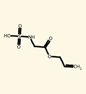 C=CCOC(=O)CNS(=O)(=O)O